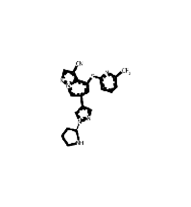 N#Cc1cnn2cc(-c3cnn([C@@H]4CCCNC4)c3)cc(Sc3cccc(C(F)(F)F)n3)c12